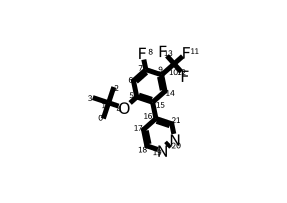 CC(C)(C)Oc1cc(F)c(C(F)(F)F)cc1-c1ccnnc1